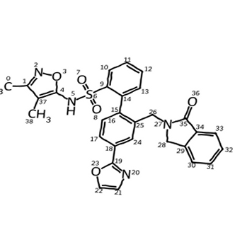 Cc1noc(NS(=O)(=O)c2ccccc2-c2ccc(-c3ncco3)cc2CN2Cc3ccccc3C2=O)c1C